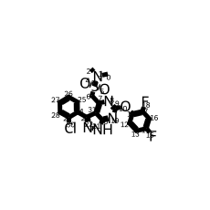 CN(C)S(=O)(=O)Cc1nc(Oc2ccc(F)cc2F)nc2[nH]nc(-c3ccccc3Cl)c12